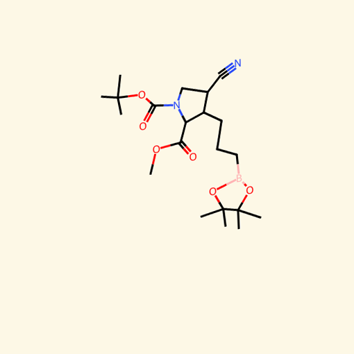 COC(=O)C1C(CCCB2OC(C)(C)C(C)(C)O2)C(C#N)CN1C(=O)OC(C)(C)C